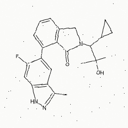 Cc1n[nH]c2cc(F)c(-c3cccc4c3C(=O)N(C(C3CC3)C(C)(C)O)C4)cc12